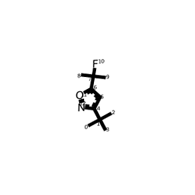 CC(C)(C)c1cc(C(C)(C)F)on1